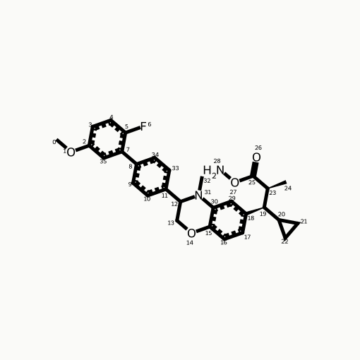 COc1ccc(F)c(-c2ccc(C3COc4ccc([C@H](C5CC5)[C@H](C)C(=O)ON)cc4N3C)cc2)c1